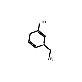 O=CC1=CN(CC(F)(F)F)C=CC1